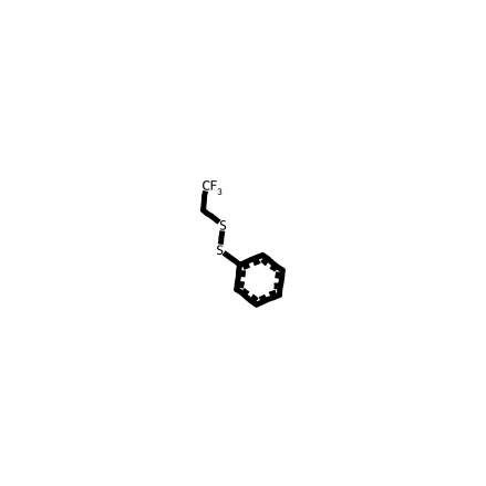 FC(F)(F)CSSc1ccccc1